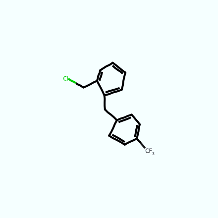 FC(F)(F)c1ccc(Cc2ccccc2CCl)cc1